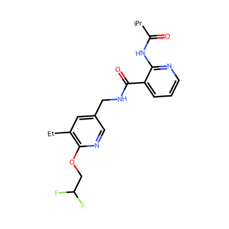 CCc1cc(CNC(=O)c2cccnc2NC(=O)C(C)C)cnc1OCC(F)F